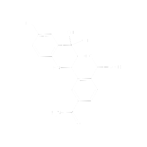 CC(c1ccc(C(N)=O)cc1C1CC(C)(C)c2cc(C(F)(F)F)ccc2N1)S(=O)(=O)O